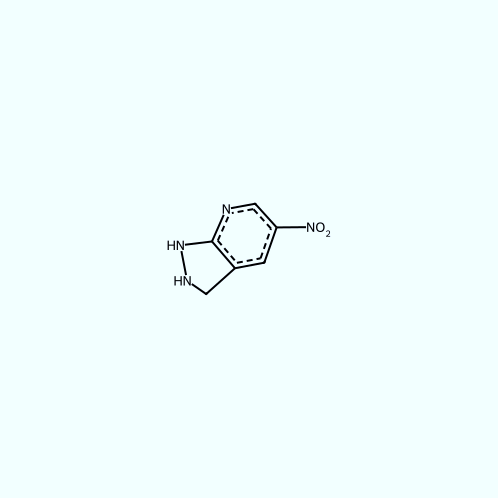 O=[N+]([O-])c1cnc2c(c1)CNN2